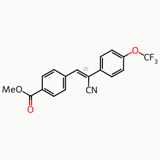 COC(=O)c1ccc(/C=C(\C#N)c2ccc(OC(F)(F)F)cc2)cc1